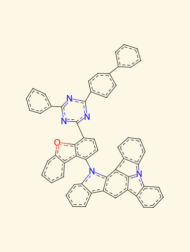 c1ccc(-c2ccc(-c3nc(-c4ccccc4)nc(-c4ccc(-n5c6ccccc6c6cc7c8ccccc8n8c9ccccc9c(c65)c78)c5c4oc4ccccc45)n3)cc2)cc1